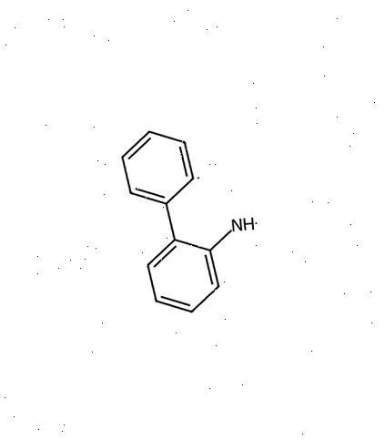 [NH]c1ccccc1-c1[c]cccc1